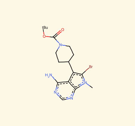 Cn1c(Br)c(C2CCN(C(=O)OC(C)(C)C)CC2)c2c(N)ncnc21